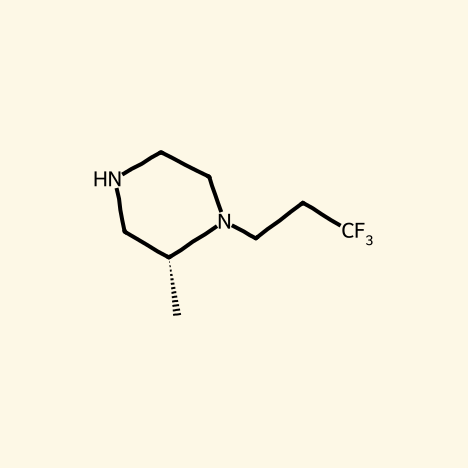 C[C@@H]1CNCCN1CCC(F)(F)F